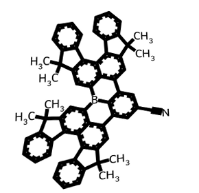 CC1(C)c2ccccc2-c2c1cc1c3c(cc4c(c23)-c2ccccc2C4(C)C)-c2cc(C#N)cc3c2B1c1cc2c(c4c5c(cc-3c14)C(C)(C)c1ccccc1-5)-c1ccccc1C2(C)C